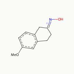 COc1ccc2c(c1)CC/C(=N\O)C2